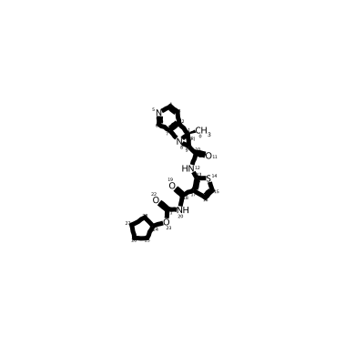 C[C@]12c3ccncc3N1C2C(=O)Nc1sccc1C(=O)NC(=O)OC1CCCC1